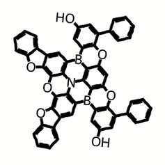 Oc1cc2c(c(-c3ccccc3)c1)Oc1cc3c4c5c1B2c1cc2c(oc6ccccc62)c2c1N5c1c(cc5c(oc6ccccc65)c1O2)B4c1cc(O)cc(-c2ccccc2)c1O3